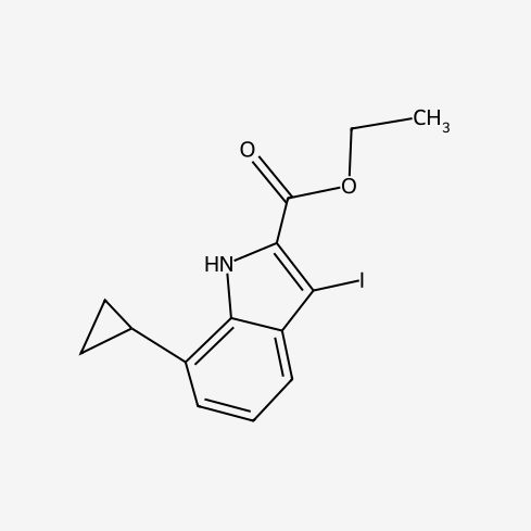 CCOC(=O)c1[nH]c2c(C3CC3)cccc2c1I